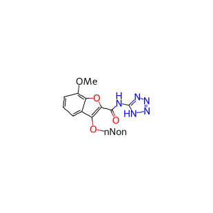 CCCCCCCCCOc1c(C(=O)Nc2nnn[nH]2)oc2c(OC)cccc12